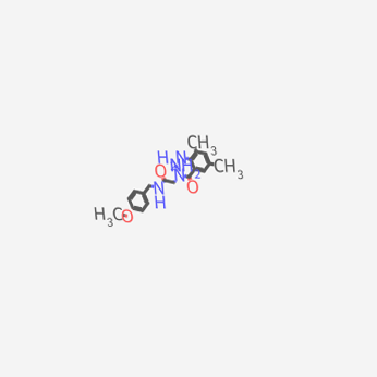 COc1ccc(CNC(=O)CN(N)C(=O)c2cc(C)cc(C)c2N)cc1